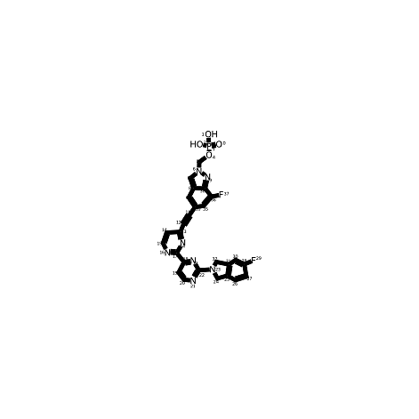 O=P(O)(O)OCn1cc2cc(C#Cc3ccnc(-c4ccnc(N5Cc6ccc(F)cc6C5)n4)n3)cc(F)c2n1